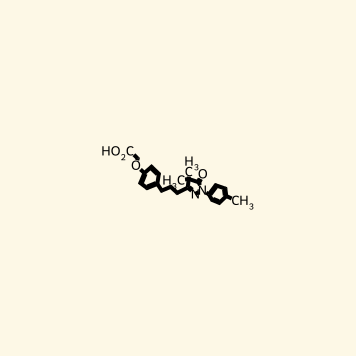 Cc1ccc(N2N=C(CCCc3ccc(OCC(=O)O)cc3)C(C)(C)C2=O)cc1